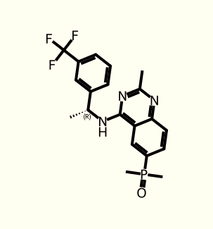 Cc1nc(N[C@H](C)c2cccc(C(F)(F)F)c2)c2cc(P(C)(C)=O)ccc2n1